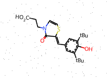 CC(C)(C)c1cc(C=C2SC=CN(CCC(=O)O)C2=O)cc(C(C)(C)C)c1O